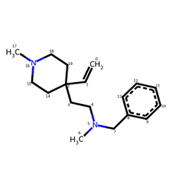 C=CC1(CCN(C)Cc2ccccc2)CCN(C)CC1